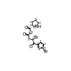 O=C(CC(Br)C(=O)c1ccc(Br)s1)OC(=O)[C@@H]1CCCN1